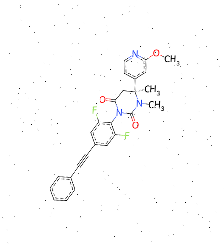 COc1cc([C@]2(C)CC(=O)N(c3c(F)cc(C#Cc4ccccc4)cc3F)C(=O)N2C)ccn1